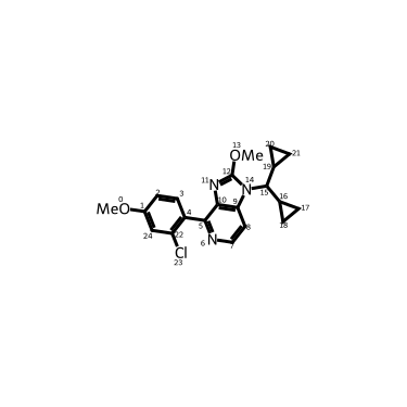 COc1ccc(-c2nccc3c2nc(OC)n3C(C2CC2)C2CC2)c(Cl)c1